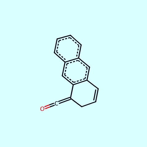 O=C=C1CC=Cc2cc3ccccc3cc21